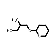 CC(CO)COC1CCCCO1